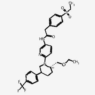 CCOC[C@@H]1CCC(c2ccc(C(F)(F)F)cc2)CN1c1ccc(NC(=O)Cc2ccc(S(=O)(=O)CC)cc2)cn1